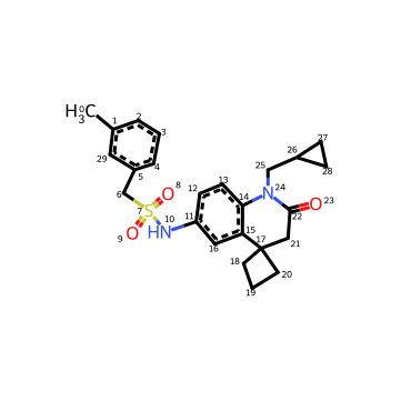 Cc1cccc(CS(=O)(=O)Nc2ccc3c(c2)C2(CCC2)CC(=O)N3CC2CC2)c1